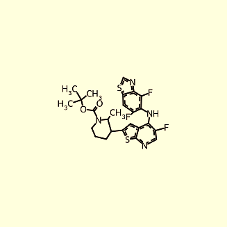 CC1C(c2cc3c(Nc4c(F)cc5scnc5c4F)c(F)cnc3s2)CCCN1C(=O)OC(C)(C)C